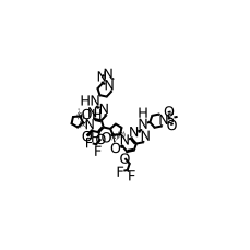 C[C@@]1(O)CCC[C@H]1n1c(=O)c(OC(F)F)c(C2CC[C@@H](n3c(=O)c(OCC(F)F)cc4cnc(NC5CCN(S(C)(=O)=O)CC5)nc43)[C@]2(C)O)c2cnc(NC3CCn4cnnc4C3)nc21